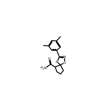 Cc1cc(C)cc(C2=NOC3(CCCC3C(N)=O)[N]2)c1